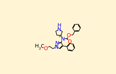 COCCn1cc(-c2ccccc2)c(N(C(=O)OCc2ccccc2)[C@@H]2CCNC2)n1